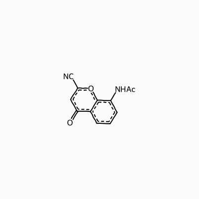 CC(=O)Nc1cccc2c(=O)cc(C#N)oc12